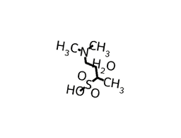 CC(CCN(C)C)S(=O)(=O)O.O